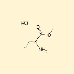 CC=C(N)C(=O)OC.Cl